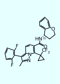 Cc1nn2c(C3(C(F)(F)F)CC3)c(C(=O)N[C@H]3CCOc4ccccc43)ccc2c1-c1c(F)cccc1F